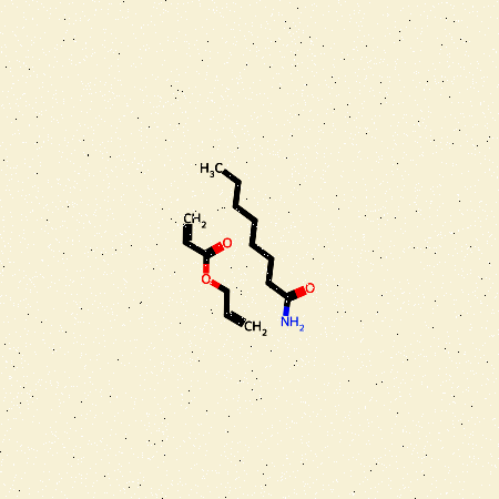 C=CCOC(=O)C=C.CCCCCCCC(N)=O